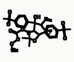 C=NC(CF)C(O)(c1ccc(S(C)(=O)=O)cc1)C1C(c2ccc(S(C)(=O)=O)cc2)OC(C)(C)N1OC(=O)OOC(C)(C)C